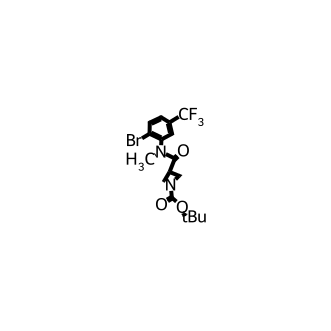 CN(C(=O)C1CN(C(=O)OC(C)(C)C)C1)c1cc(C(F)(F)F)ccc1Br